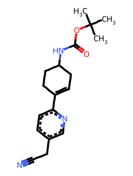 CC(C)(C)OC(=O)NC1CC=C(c2ccc(CC#N)cn2)CC1